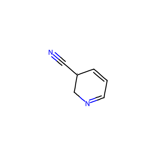 N#C[C]1C=CC=NC1